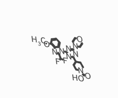 COc1cccc2c1nc(C(F)F)n2-c1nc(C2CCN(C(=O)O)CC2)nc(N2CCOCC2)n1